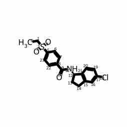 CCS(=O)(=O)c1ccc(C(=O)N[C@@H]2CCc3cc(Cl)ccc32)cc1